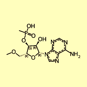 COC[C@H]1O[C@@H](n2cnc3c(N)ncnc32)[C@H](O)[C@@H]1OP(C)(=O)O